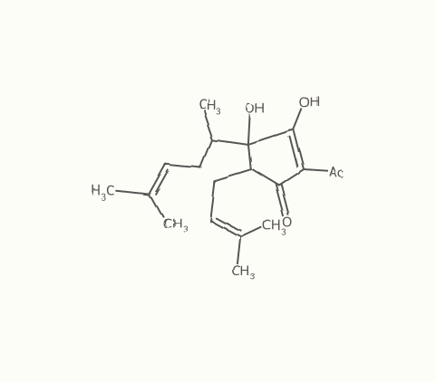 CC(=O)C1=C(O)C(O)(C(C)CC=C(C)C)C(CC=C(C)C)C1=O